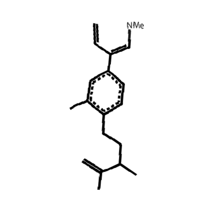 C=C/C(=C\NC)c1ccc(CCC(C)C(=C)C)c(C)c1